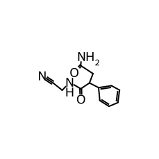 N#CCNC(=O)C(CC(N)=O)c1ccccc1